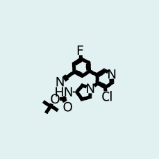 CC(C)(C)OC(=O)N[C@H]1CCN(c2c(Cl)cncc2-c2cc(F)cc(C#N)c2)C1